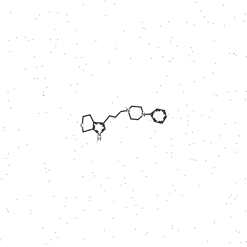 c1ccc(N2CCN(CCCc3c[nH]c4c3CCCC4)CC2)cc1